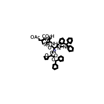 CC(=O)OCC1=C(C(=O)O)N2C(=O)[C@@H](NC(=O)/C(=N\OC(C(=O)OC(c3ccccc3)c3ccccc3)c3ccco3)c3csc(NC(c4ccccc4)(c4ccccc4)c4ccccc4)n3)[C@H]2SC1